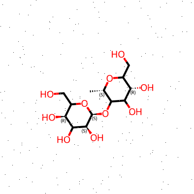 C[C@@H]1OC(CO)[C@H](O)C(O)C1O[C@@H]1OC(CO)[C@H](O)C(O)[C@@H]1O